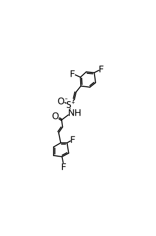 O=C(C=Cc1ccc(F)cc1F)N[S+]([O-])C=Cc1ccc(F)cc1F